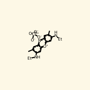 CCNc1cc2[o+]c3cc(NCC)c(C)cc3nc2cc1C.[O-][Cl+3]([O-])([O-])[O-]